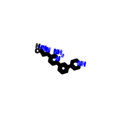 Cc1cc(-c2ccc(-c3cccc(C4=CCNCC4)c3)nc2N)n[nH]1